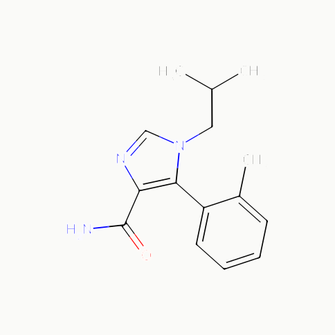 Cc1ccccc1-c1c(C(N)=O)ncn1CC(C)C